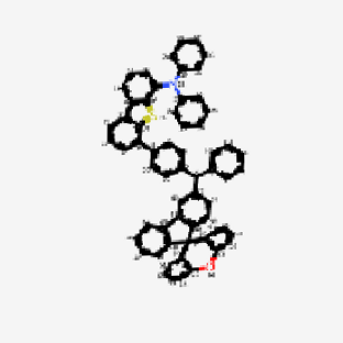 c1ccc(C(c2ccc(-c3cccc4c3sc3c(N(c5ccccc5)c5ccccc5)cccc34)cc2)c2ccc3c(c2)-c2ccccc2C32c3ccccc3Oc3ccccc32)cc1